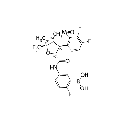 COc1c([C@H]2[C@H](C(=O)Nc3ccc(F)c(B(O)O)c3)O[C@@](C)(C(F)(F)F)[C@H]2C)ccc(F)c1F